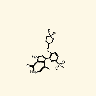 Cc1c[nH]c(=O)c2[nH]cc(-c3cc(S(C)(=O)=O)ccc3OC3CCC(F)(F)CC3)c12